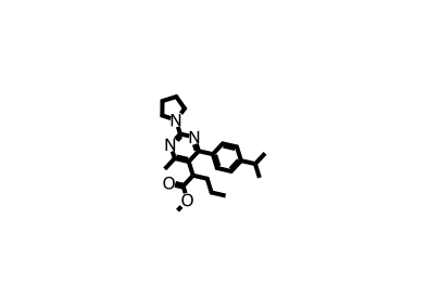 CCCC(C(=O)OC)c1c(C)nc(N2CCCC2)nc1-c1ccc(C(C)C)cc1